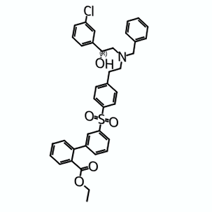 CCOC(=O)c1ccccc1-c1cccc(S(=O)(=O)c2ccc(CCN(Cc3ccccc3)C[C@H](O)c3cccc(Cl)c3)cc2)c1